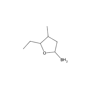 BC1CC(C)C(CC)O1